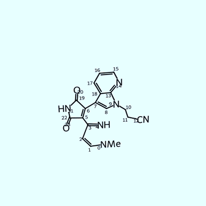 CN/C=C\C(=N)C1=C(c2cn(CCC#N)c3ncccc23)C(=O)NC1=O